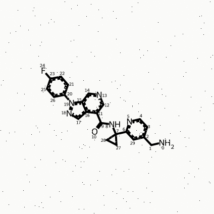 NCc1ccnc(C2(NC(=O)c3cncc4c3cnn4-c3ccc(F)cc3)CC2)c1